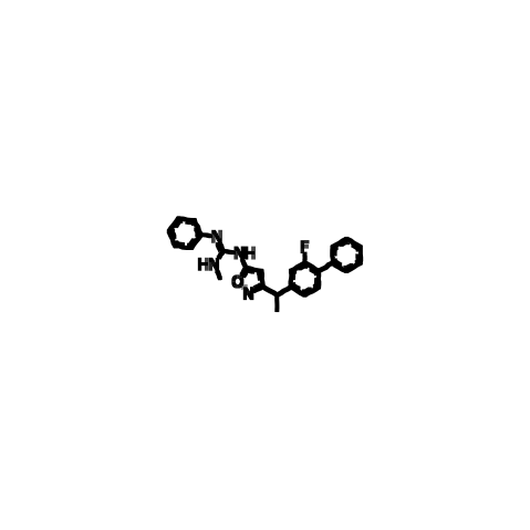 CN/C(=N\c1ccccc1)Nc1cc(C(C)c2ccc(-c3ccccc3)c(F)c2)no1